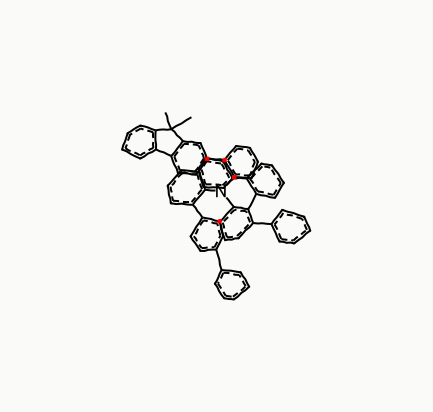 CC1(C)c2ccccc2-c2ccc(-c3ccccc3N(c3ccccc3-c3ccc(-c4ccccc4)cc3)c3cccc(-c4ccccc4)c3-c3ccccc3-c3ccccc3)cc21